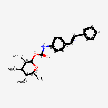 CO[C@@H]1[C@@H](OC)[C@@H](OC)C(OC(=O)Nc2ccc(/C=C/c3ccccc3)cc2)O[C@H]1C